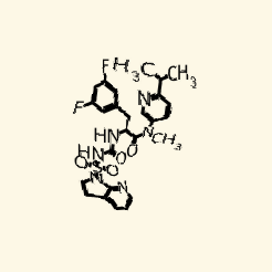 CC(C)c1ccc(N(C)C(=O)[C@H](Cc2cc(F)cc(F)c2)NC(=O)NS(=O)(=O)N2CCc3cccnc32)cn1